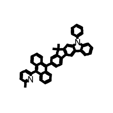 Cc1cccc(-c2c3ccccc3c(-c3ccc4c(c3)C(C)(C)c3cc5c(cc3-4)c3ccccc3n5-c3ccccc3)c3ccccc23)n1